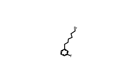 Fc1cccc(CCCCCCBr)c1